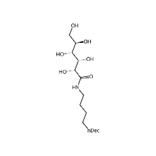 CCCCCCCCCCCCCCNC(=O)[C@H](O)[C@@H](O)[C@H](O)[C@H](O)CO